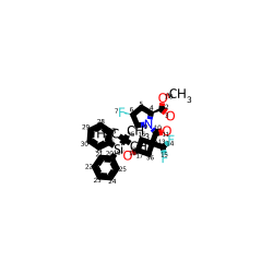 COC(=O)[C@@H]1C[C@@H](F)CN1C(=O)C1(C(F)F)CC(O[Si](c2ccccc2)(c2ccccc2)C(C)(C)C)C1